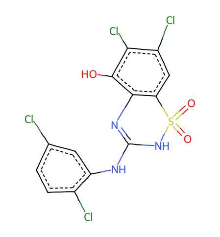 O=S1(=O)NC(Nc2cc(Cl)ccc2Cl)=Nc2c1cc(Cl)c(Cl)c2O